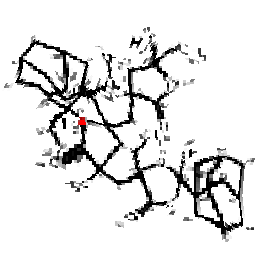 CCC1(CC(C)(CC(C)(CC2(C)CC(C)(C)OC2=O)C(=O)OC)C(=O)OC2(CC)C3CC4CC(C3)CC2C4)OC(C)(C23CC4CC(CC(C4)C2)C3)OC1=O